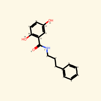 O=C(NCCCc1ccccc1)c1cc(O)ccc1O